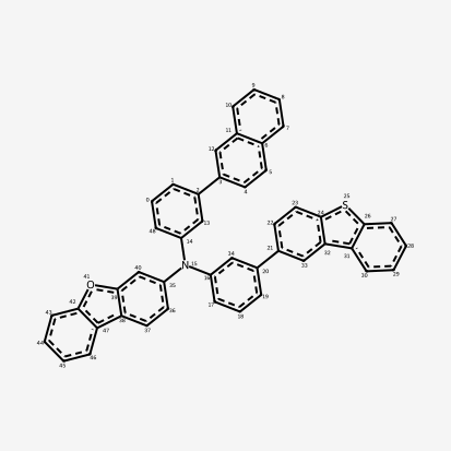 c1cc(-c2ccc3ccccc3c2)cc(N(c2cccc(-c3ccc4sc5ccccc5c4c3)c2)c2ccc3c(c2)oc2ccccc23)c1